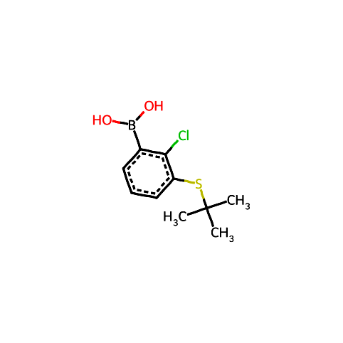 CC(C)(C)Sc1cccc(B(O)O)c1Cl